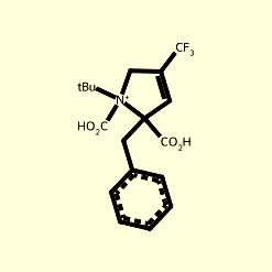 CC(C)(C)[N+]1(C(=O)O)CC(C(F)(F)F)=CC1(Cc1ccccc1)C(=O)O